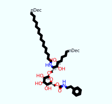 CCCCCCCCCCCCCCCCCCCCCCCCCCN[C@@H](CO[C@H]1O[C@H](COC(=O)NCCc2ccccc2)[C@H](O)[C@H](O)[C@H]1O)[C@H](O)[C@H](O)CCCCCCCCCCCCCC